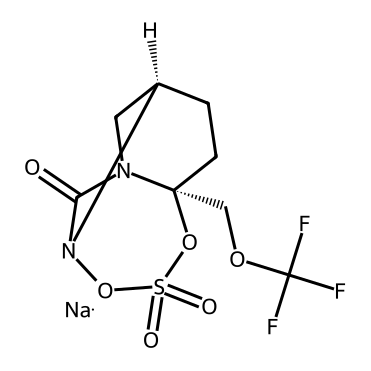 O=C1N2OS(=O)(=O)O[C@]3(COC(F)(F)F)CC[C@@H]2CN13.[Na]